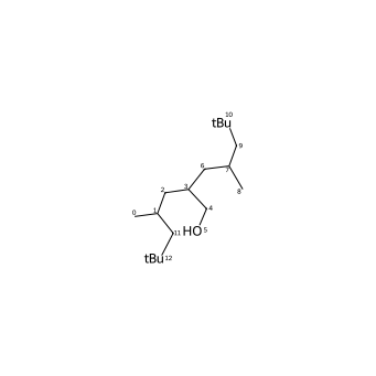 CC(CC(CO)CC(C)CC(C)(C)C)CC(C)(C)C